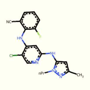 CCCn1nc(C)cc1Nc1cc(Nc2c(F)cccc2C#N)c(Cl)cn1